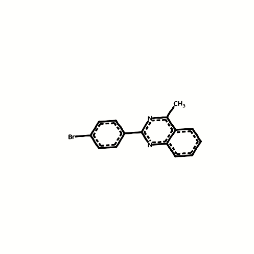 Cc1nc(-c2ccc(Br)cc2)nc2ccccc12